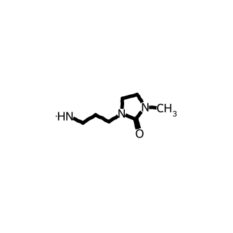 CN1CCN(CCC[NH])C1=O